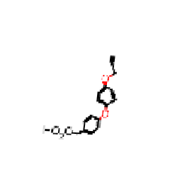 C#CCOc1ccc(Oc2ccc(CC(=O)O)cc2)cc1